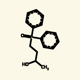 CC(O)CCP(=O)(c1ccccc1)c1ccccc1